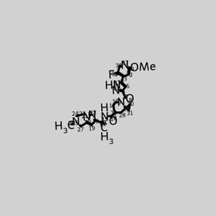 COc1cc(-c2cc(C(=O)N3CCC(C(=O)N[C@@H](C)c4cc5n(n4)CCN(C)C5)CC34CC4)n[nH]2)c(F)cn1